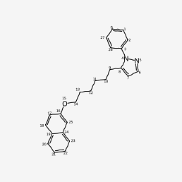 c1ccc(-n2nccc2CCCCCCOc2ccc3ccccc3c2)cc1